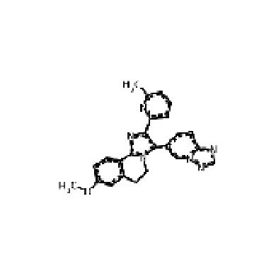 COc1ccc2c(c1)CCn1c-2nc(-c2cccc(C)n2)c1-c1ccc2ncnn2c1